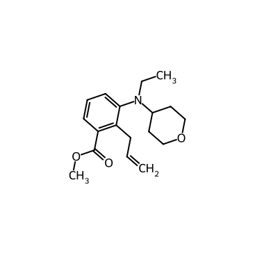 C=CCc1c(C(=O)OC)cccc1N(CC)C1CCOCC1